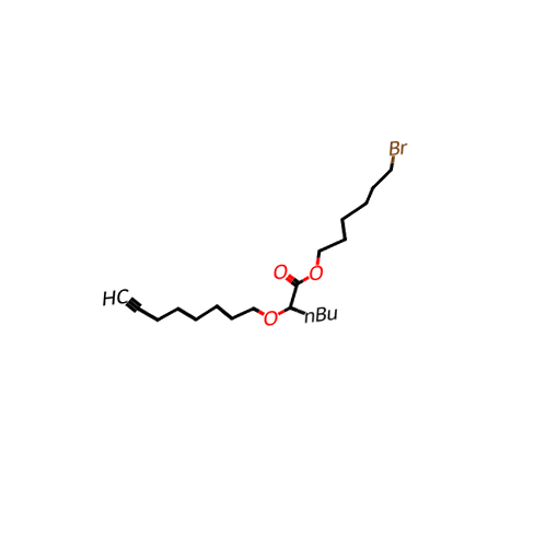 C#CCCCCCCOC(CCCC)C(=O)OCCCCCCBr